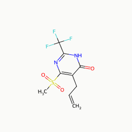 C=CCc1c(S(C)(=O)=O)nc(C(F)(F)F)[nH]c1=O